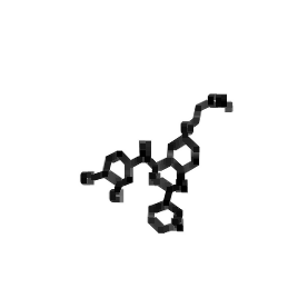 CCCOc1ccc2nc(-c3cccnc3)nc(Nc3ccc(Cl)c(Cl)c3)c2c1